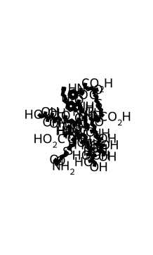 C#CCN(Cc1ccc2nc(N)[nH]c(=O)c2c1)c1ccc(C(=O)NC(CCC(=O)OCCSSCC(NC(=O)C(CCC(=O)NCC(O)C(O)C(O)C(O)CO)NC(=O)C(CCC(=O)O)NC(=O)C(CCC(=O)NCC(O)C(O)C(O)C(O)CO)NC(=O)C(CCC(=O)O)NC(=O)C(CCC(=O)NCC(O)C(O)C(O)C(O)CO)NC(=O)CCSSCCOC(N)=O)C(=O)O)C(=O)O)cc1